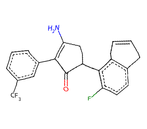 NC1=C(c2cccc(C(F)(F)F)c2)C(=O)C(c2c(F)ccc3c2C=CC3)C1